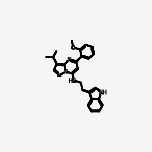 COc1ccccc1-c1cc(NCCc2c[nH]c3ccccc23)n2ncc(C(C)C)c2n1